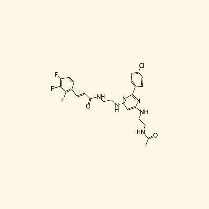 CC(=O)NCCNc1cc(NCCNC(=O)/C=C/c2ccc(F)c(F)c2F)nc(-c2ccc(Cl)cc2)n1